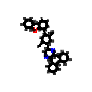 Cc1cc(-c2cccc3c2oc2ccccc23)c(C)cc1-c1cnc2c3ccccc3c3ccccc3c2n1